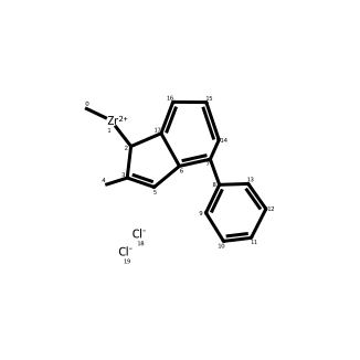 [CH3][Zr+2][CH]1C(C)=Cc2c(-c3ccccc3)cccc21.[Cl-].[Cl-]